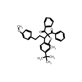 CCOC(C(=O)c1ccccc1)(C(=O)c1ccccc1)C(CCc1ccc(OC)cc1)c1ccc(C(C)(C)C)cc1